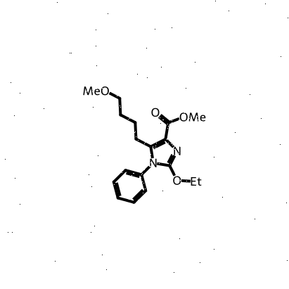 CCOc1nc(C(=O)OC)c(CCCCOC)n1-c1ccccc1